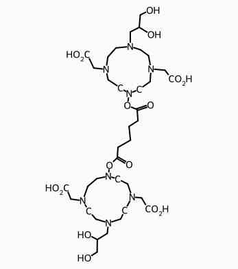 O=C(O)CN1CCN(CC(O)CO)CCN(CC(=O)O)CCN(OC(=O)CCCCC(=O)ON2CCN(CC(=O)O)CCN(CC(O)CO)CCN(CC(=O)O)CC2)CC1